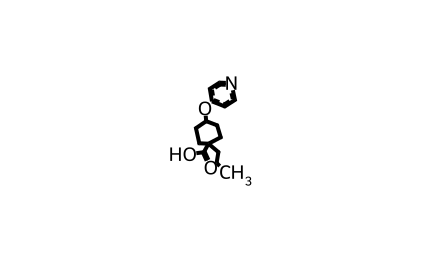 CCCC1(C(=O)O)CCC(Oc2ccncc2)CC1